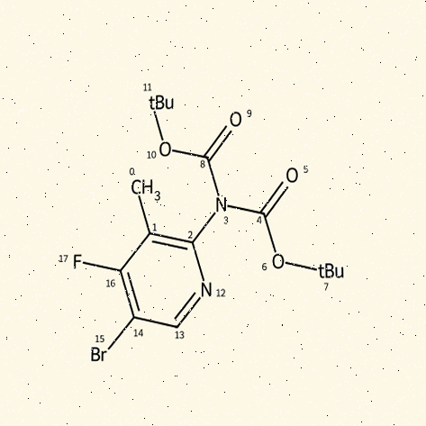 Cc1c(N(C(=O)OC(C)(C)C)C(=O)OC(C)(C)C)ncc(Br)c1F